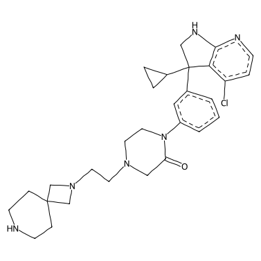 O=C1CN(CCN2CC3(CCNCC3)C2)CCN1c1cccc(C2(C3CC3)CNc3nccc(Cl)c32)c1